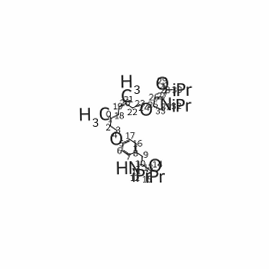 CC(CCOc1ccc(C[C@H](NC(C)C)C(=O)C(C)C)cc1)CCC(C)CCO[C@@H]1C[C@@H](C(=O)C(C)C)N(C(C)C)C1